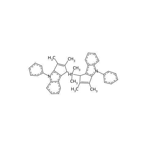 CC1=C(C)[CH]([Hf]([CH3])([CH3])[CH]2C(C)=C(C)c3c2c2ccccc2n3-c2ccccc2)c2c1n(-c1ccccc1)c1ccccc21